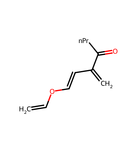 C=COC=CC(=C)C(=O)CCC